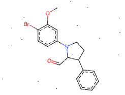 COc1cc(N2CCC(c3ccccc3)C2C=O)ccc1Br